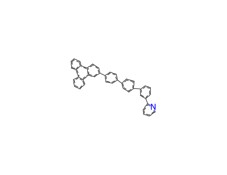 c1ccc(-c2cccc(-c3ccc(-c4ccc(-c5ccc6c7ccccc7c7ccccc7c6c5)cc4)cc3)c2)nc1